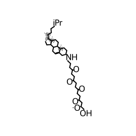 CC(C)CCC[C@@H](C)[C@H]1CCC2C3CC=C4CC(NCCCC(=O)CCC(=O)CCC(=O)CCC(=O)CC([O])CO)CC[C@]4(C)C3CC[C@@]21C